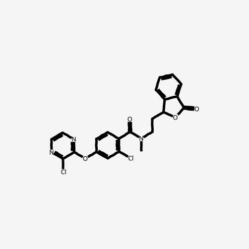 CN(CCC1OC(=O)c2ccccc21)C(=O)c1ccc(Oc2nccnc2Cl)cc1Cl